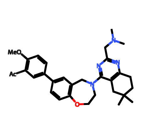 COc1ccc(-c2ccc3c(c2)CN(c2nc(CN(C)C)nc4c2CC(C)(C)CC4)CCO3)cc1C(C)=O